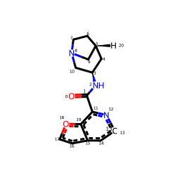 O=C(N[C@@H]1C[C@H]2CCN(C2)C1)c1n[13cH]cc2ccoc12